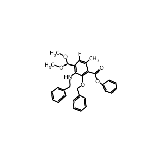 COC(OC)c1c(F)c(C)c(C(=O)Oc2ccccc2)c(OCc2ccccc2)c1NCc1ccccc1